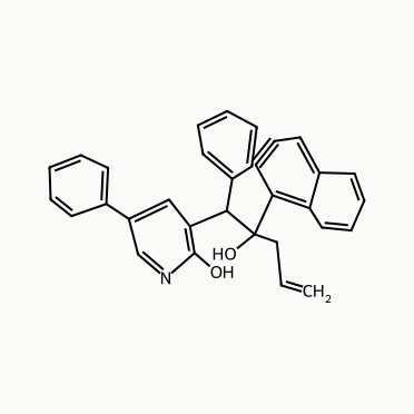 C=CCC(O)(c1c#ccc2ccccc12)C(c1ccccc1)c1cc(-c2ccccc2)cnc1O